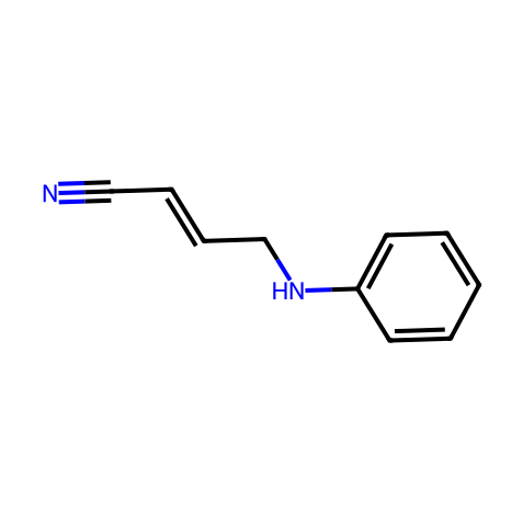 N#CC=CCNc1ccccc1